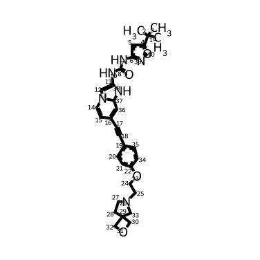 CC(C)(C)c1cc(NC(=O)NC2=CN3C=CC(C#Cc4ccc(OCCN5CCC6(COC6)C5)cc4)=CC3N2)no1